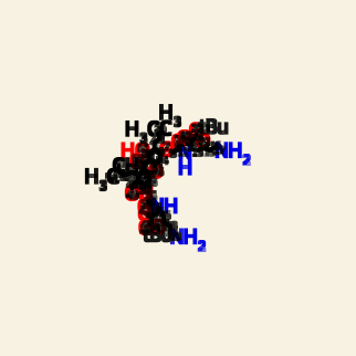 CC(C)=CCc1c(OCC(=O)N[C@@H](CCCCN)C(=O)C(=O)OC(C)(C)C)cc2oc3cc(OCC(=O)N[C@@H](CCCCN)C(=O)C(=O)OC(C)(C)C)c(CO)c(CC=C(C)C)c3c(=O)c2c1O